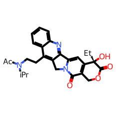 CC[C@@]1(O)C(=O)OCc2c1cc1n(c2=O)Cc2c-1nc1ccccc1c2CCN(C(C)=O)C(C)C